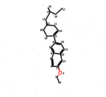 CCOc1ccc2cc(C3=CCC(CC(C)CC)CC3)ccc2c1